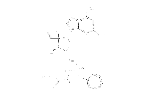 C=C[C@@]1(Cl)[C@H](O)[C@@H](CO[P@@](=O)(NC(C)C(=O)OC(C)C)Oc2ccccc2)O[C@H]1n1cnc2c(NC)nc(N)nc21